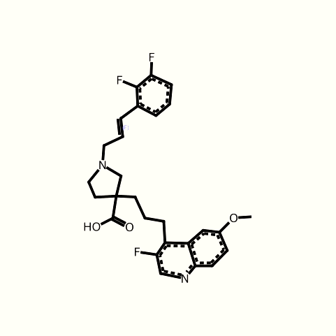 COc1ccc2ncc(F)c(CCCC3(C(=O)O)CCN(C/C=C/c4cccc(F)c4F)C3)c2c1